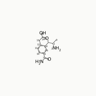 CC(N)Cc1cc(C(N)=O)ccc1CC(=O)O